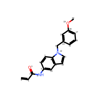 C=CC(=O)Nc1ccc2c(ccn2Cc2cccc(OC)c2)c1